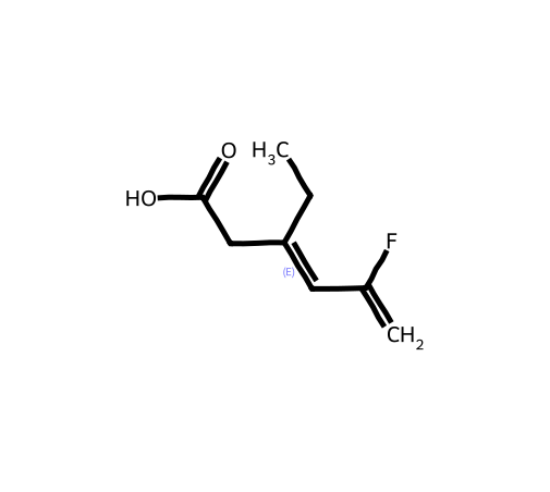 C=C(F)/C=C(\CC)CC(=O)O